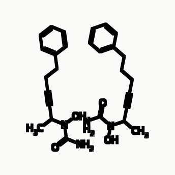 CC(C#CCCCc1ccccc1)N(O)C(N)=O.CC(C#CCCc1ccccc1)N(O)C(N)=O